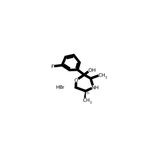 Br.CC1N[C@@H](C)COC1(O)c1cccc(F)c1